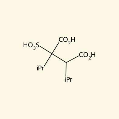 CC(C)C(C(=O)O)C(C(=O)O)(C(C)C)S(=O)(=O)O